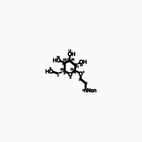 CCCCCCCCCCCO[C@H]1O[C@H](CO)[C@@H](O)[C@@H](O)[C@@H]1O